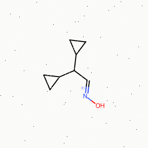 O/N=C/C(C1CC1)C1CC1